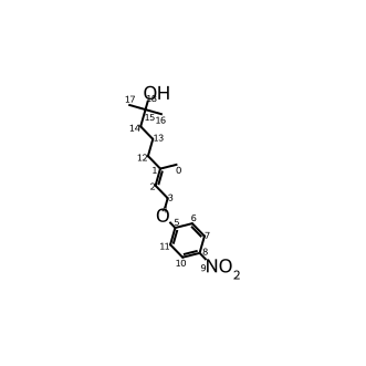 C/C(=C\COc1ccc([N+](=O)[O-])cc1)CCCC(C)(C)O